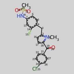 Cn1c(Cc2ccc(NS(C)(=O)=O)cc2F)ccc1C(=O)c1ccc(Cl)cc1